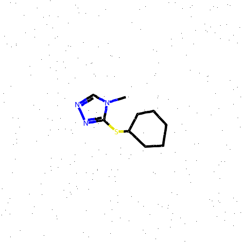 Cn1cnnc1SC1CCCCC1